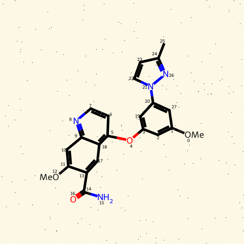 COc1cc(Oc2ccnc3cc(OC)c(C(N)=O)cc23)cc(-n2ccc(C)n2)c1